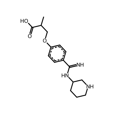 CC(COc1ccc(C(=N)NC2CCCNC2)cc1)C(=O)O